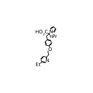 CCCC(Cc1ccc(OCCc2ccc(CC)cn2)cc1)(C(=O)O)n1cccc1